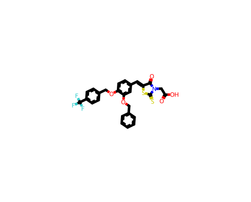 O=C(O)CN1C(=O)C(=Cc2ccc(OCc3ccc(C(F)(F)F)cc3)c(OCc3ccccc3)c2)SC1=S